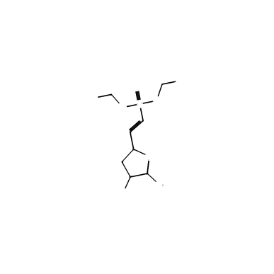 CCOP(=O)(/C=C/C1CC(O)C(O)O1)OCC